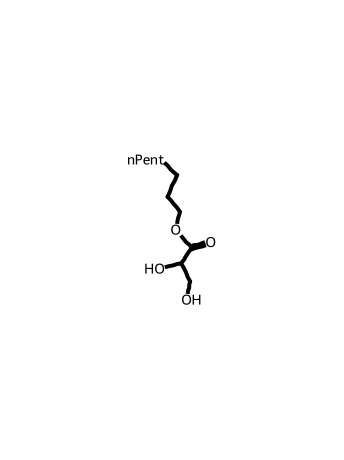 CCCCCCCCOC(=O)C(O)CO